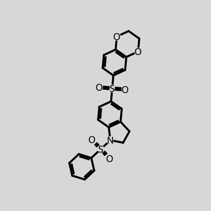 O=S(=O)(c1ccc2c(c1)CCN2S(=O)(=O)c1ccccc1)c1ccc2c(c1)OCCO2